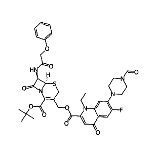 CCn1c(C(=O)OCC2=C(C(=O)OC(C)(C)C)N3C(=O)[C@@H](NC(=O)COc4ccccc4)[C@H]3SC2)cc(=O)c2cc(F)c(N3CCN(C=O)CC3)cc21